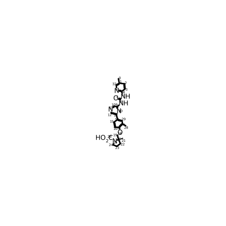 Cc1ccc(NC(=O)Nc2cncc(-c3ccc(OC[C@]4(C)CCCN4C(=O)O)c(C)c3)n2)nc1